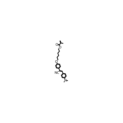 C=C(C)C(=O)OCCCCCCOc1ccc(C(C#N)=Cc2ccc(N(C)C)cc2)cc1